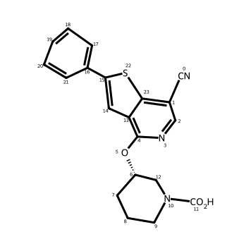 N#Cc1cnc(O[C@H]2CCCN(C(=O)O)C2)c2cc(-c3ccccc3)sc12